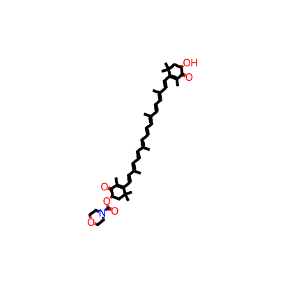 CC1=C(/C=C/C(C)=C/C=C/C(C)=C/C=C/C=C(C)/C=C/C=C(C)/C=C/C2=C(C)C(=O)C(OC(=O)N3CCOCC3)CC2(C)C)C(C)(C)CC(O)C1=O